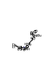 CCN(CC)CCNC(=O)c1c(C)[nH]c(/C=C2\C(=O)Nc3ccc(NC(=O)CCCCC(=O)O[C@@H](CNC(C)(C)C)COc4nsnc4N4CCOCC4)cc32)c1C